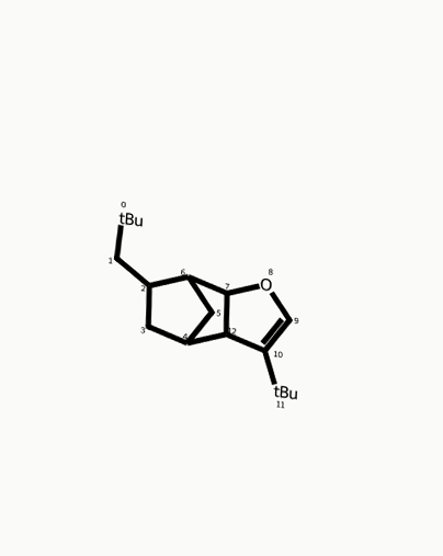 CC(C)(C)CC1CC2CC1C1OC=C(C(C)(C)C)C21